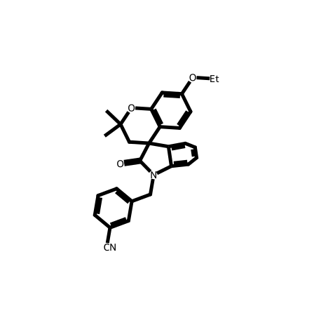 CCOc1ccc2c(c1)OC(C)(C)CC21C(=O)N(Cc2cccc(C#N)c2)c2ccccc21